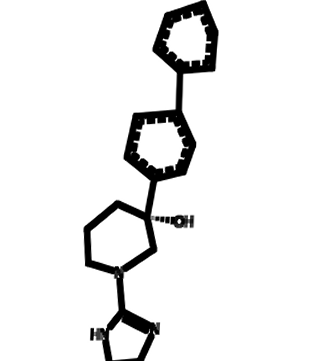 O[C@@]1(c2ccc(-c3ccccc3)cc2)CCCN(C2=NCCN2)C1